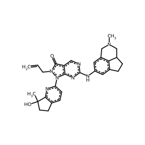 C=CCn1c(=O)c2cnc(Nc3cc4c5c(c3)CN(C)CC5CC4)nc2n1-c1ccc2c(n1)C(C)(O)CC2